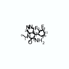 CCn1c(=O)c(N)c(-c2cccc(F)c2F)c2cnncc21